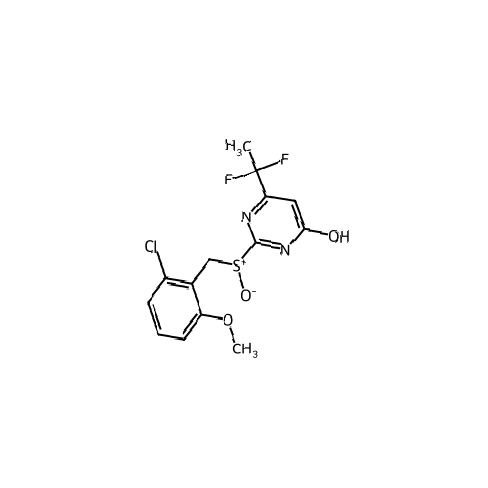 COc1cccc(Cl)c1C[S+]([O-])c1nc(O)cc(C(C)(F)F)n1